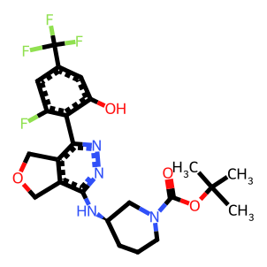 CC(C)(C)OC(=O)N1CCC[C@@H](Nc2nnc(-c3c(O)cc(C(F)(F)F)cc3F)c3c2COC3)C1